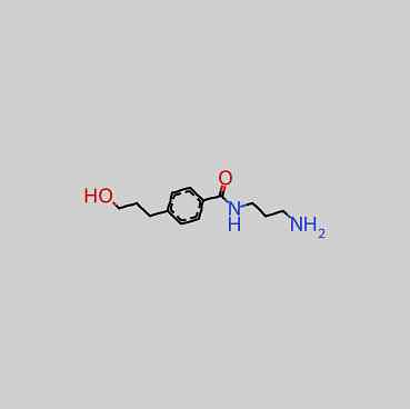 NCCCNC(=O)c1ccc(CCCO)cc1